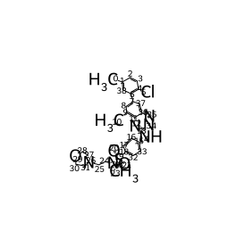 Cc1ccc(Cl)c(-c2cc(C)c3nc(Nc4ccc(S(=O)(=O)N(C)CCN5CCOCC5)cc4)nnc3c2)c1